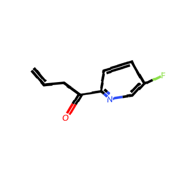 C=CCC(=O)c1ccc(F)cn1